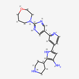 Nc1cc(-c2ccnc(-c3cnc(N4CCCOCC4)nc3)c2)[nH]c1C1CCNCC1